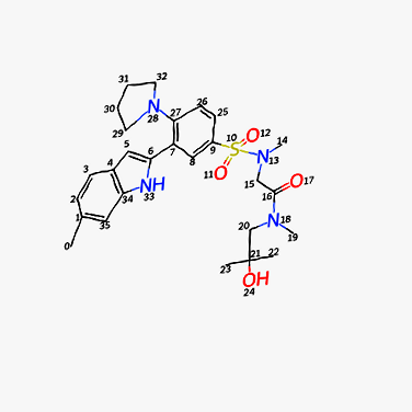 Cc1ccc2cc(-c3cc(S(=O)(=O)N(C)CC(=O)N(C)CC(C)(C)O)ccc3N3CCCC3)[nH]c2c1